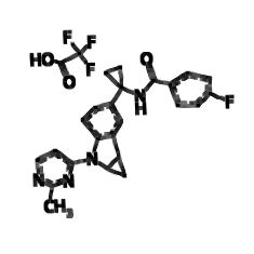 Cc1nccc(N2c3ccc(C4(NC(=O)c5ccc(F)cc5)CC4)cc3C3CC32)n1.O=C(O)C(F)(F)F